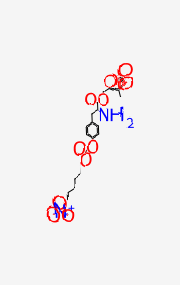 Cc1oc(=O)oc1COC(=O)C(N)Cc1ccc(OC(=O)OCCCCCCO[N+](=O)[O-])cc1